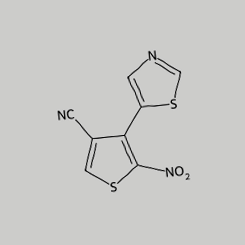 N#Cc1csc([N+](=O)[O-])c1-c1cncs1